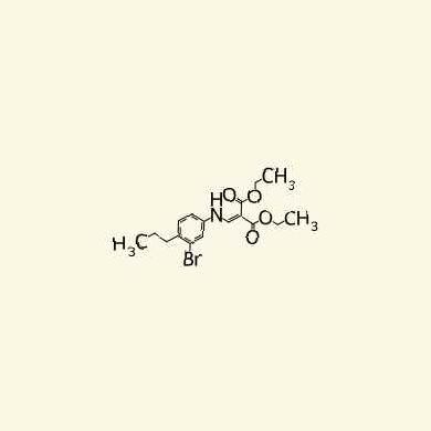 CCCc1ccc(NC=C(C(=O)OCC)C(=O)OCC)cc1Br